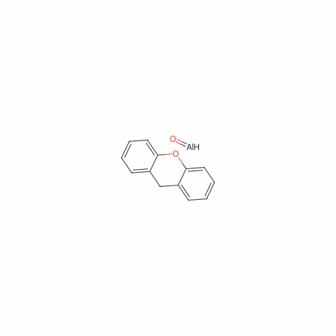 [O]=[AlH].c1ccc2c(c1)Cc1ccccc1O2